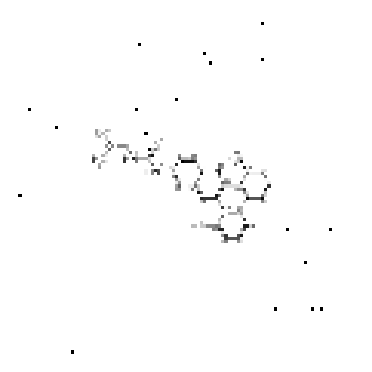 CCC(O)CNC(=O)Nc1ccc2nc(-c3ccccc3N)c(-c3ccccc3F)cc2c1